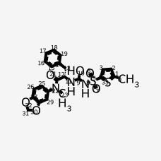 Cc1ccc(S(=O)(=O)NC(O)N[C@@H](Cc2ccccc2)C(=O)N(C)c2ccc3c(c2)OCO3)s1